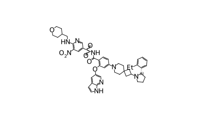 CCc1ccccc1[C@@H]1CCCN1C1CC2(CCN(c3ccc(C(=O)NS(=O)(=O)c4cnc(NCC5CCOCC5)c([N+](=O)[O-])c4)c(Oc4cnc5[nH]ccc5c4)c3)CC2)C1